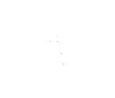 CCCCCCCCCC(CCCCCCCC(N)O)N1CCOCC1